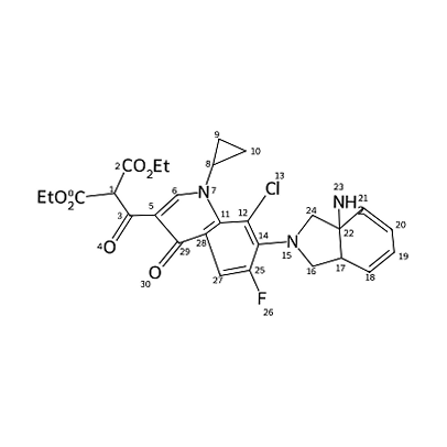 CCOC(=O)C(C(=O)OCC)C(=O)c1cn(C2CC2)c2c(Cl)c(N3CC4C=CC=CC4(N)C3)c(F)cc2c1=O